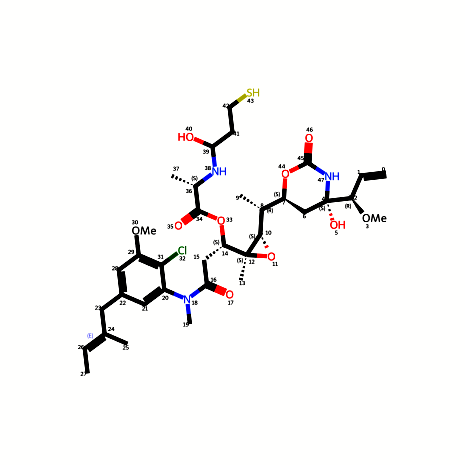 C=C[C@@H](OC)[C@@]1(O)C[C@@H]([C@@H](C)[C@@H]2O[C@@]2(C)[C@H](CC(=O)N(C)c2cc(C/C(C)=C/C)cc(OC)c2Cl)OC(=O)[C@H](C)NC(O)CCS)OC(=O)N1